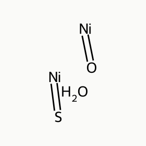 O.[O]=[Ni].[S]=[Ni]